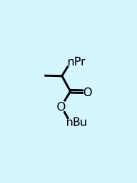 CCCCOC(=O)C(C)CCC